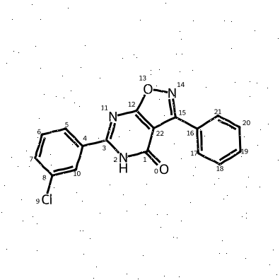 O=c1[nH]c(-c2cccc(Cl)c2)nc2onc(-c3ccccc3)c12